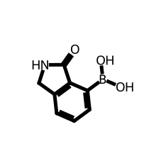 O=C1NCc2cccc(B(O)O)c21